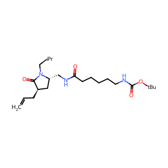 C=CC[C@@H]1C[C@@H](CNC(=O)CCCCCNC(=O)OC(C)(C)C)N(CC(C)C)C1=O